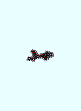 c1ccc(-c2cccc(-n3c4ccc(-c5ccc6c(c5)c5ccccc5n6-c5cccc6c5sc5ccccc56)cc4c4cc5ccccc5cc43)c2)cc1